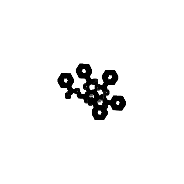 CC(=O)O[C@H](COC(=O)c1ccccc1)[C@@H](OC(=O)c1ccccc1)[C@H](OC(=O)c1ccccc1)[C@@H](OC(=O)c1ccccc1)C(=O)c1ccccc1